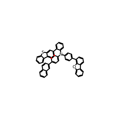 c1ccc(N(c2ccc(-c3ccc4ccccc4c3)cc2)c2ccc(-c3cccc4c3oc3ccccc34)cc2)c(-c2ccc3c(c2)sc2ccccc23)c1